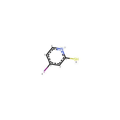 Sc1cc(I)ccn1